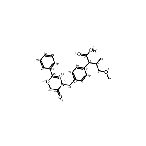 COCC(C)C(C(=O)O)c1ccc(CN2N=C(c3ccccc3)OCC2=O)cc1